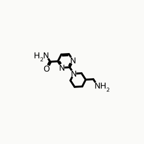 NCC1CCCN(c2nccc(C(N)=O)n2)C1